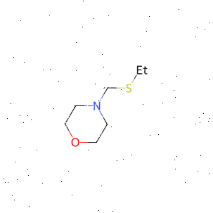 CCS[CH]N1CCOCC1